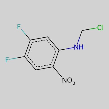 O=[N+]([O-])c1cc(F)c(F)cc1NCCl